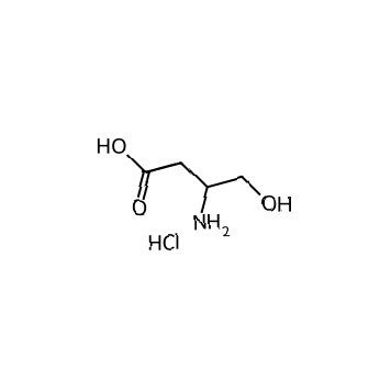 Cl.NC(CO)CC(=O)O